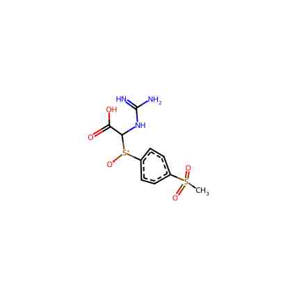 CS(=O)(=O)c1ccc([S+]([O-])C(NC(=N)N)C(=O)O)cc1